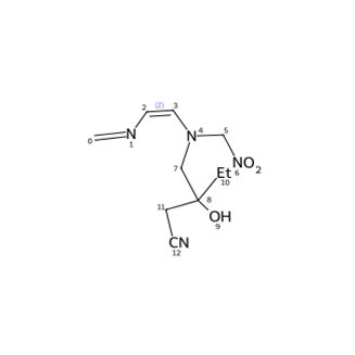 C=N/C=C\N(C[N+](=O)[O-])CC(O)(CC)CC#N